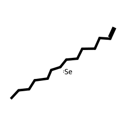 C=CCCCCCCCCCCCC.[Se]